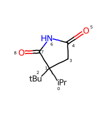 CC(C)C1(C(C)(C)C)CC(=O)NC1=O